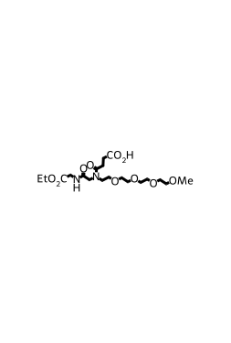 CCOC(=O)CNC(=O)CN(CCOCCOCCOCCOC)C(=O)CCC(=O)O